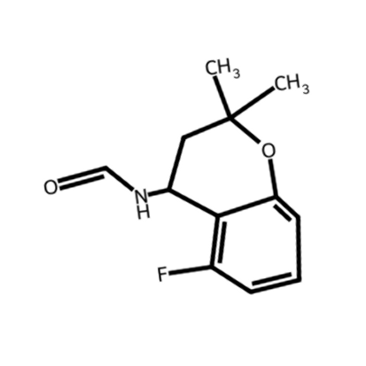 CC1(C)CC(NC=O)c2c(F)cccc2O1